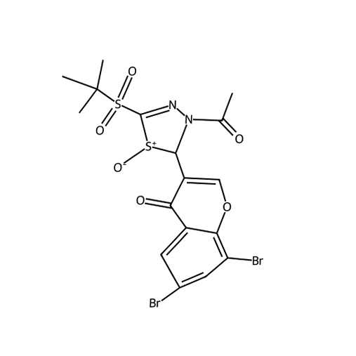 CC(=O)N1N=C(S(=O)(=O)C(C)(C)C)[S+]([O-])C1c1coc2c(Br)cc(Br)cc2c1=O